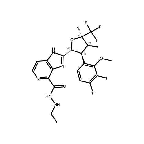 CCNNC(=O)c1nccc2[nH]c([C@@H]3O[C@@](C)(C(F)(F)F)[C@@H](C)[C@H]3c3ccc(F)c(F)c3OC)nc12